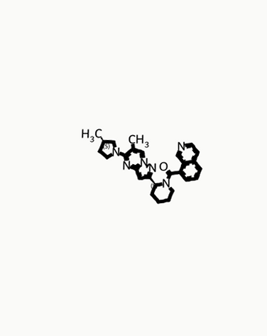 Cc1cn2nc([C@@H]3CCCCN3C(=O)c3cccc4ccncc34)cc2nc1N1CC[C@H](C)C1